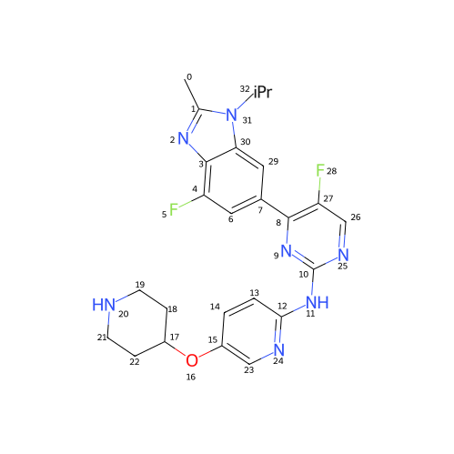 Cc1nc2c(F)cc(-c3nc(Nc4ccc(OC5CCNCC5)cn4)ncc3F)cc2n1C(C)C